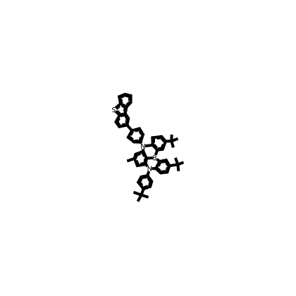 Cc1cc2c3c(c1)N(c1ccc(C(C)(C)C)cc1)c1ccc(C(C)(C)C)cc1B3c1cc(C(C)(C)C)ccc1N2c1ccc(-c2ccc3sc4ccccc4c3c2)cc1